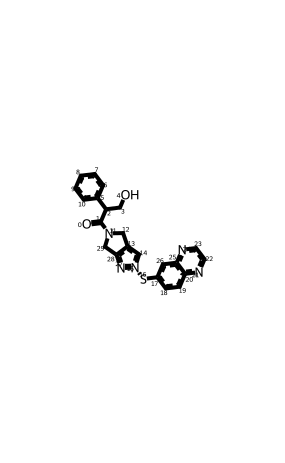 O=C(C(CO)c1ccccc1)N1Cc2cn(Sc3ccc4nccnc4c3)nc2C1